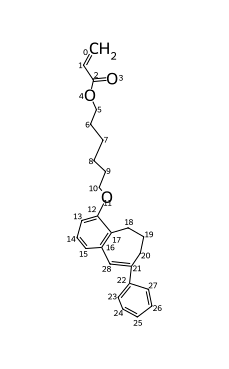 C=CC(=O)OCCCCCCOc1cccc2c1CCCC(c1ccccc1)=C2